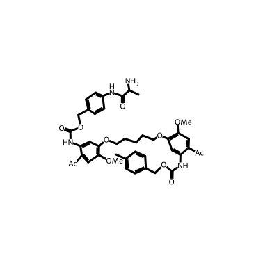 COc1cc(C(C)=O)c(NC(=O)OCc2ccc(C)cc2)cc1OCCCCCOc1cc(NC(=O)OCc2ccc(NC(=O)C(C)N)cc2)c(C(C)=O)cc1OC